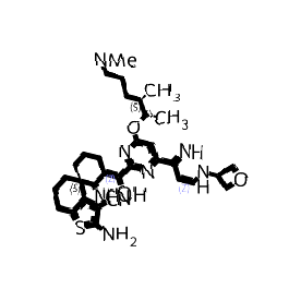 CNCCC[C@H](C)[C@H](C)Oc1cc(C(=N)/C=C\NC2COC2)nc(/C(O)=C2\CCC[C@@]3(CCCc4sc(N)c(C#N)c43)C2=N)n1